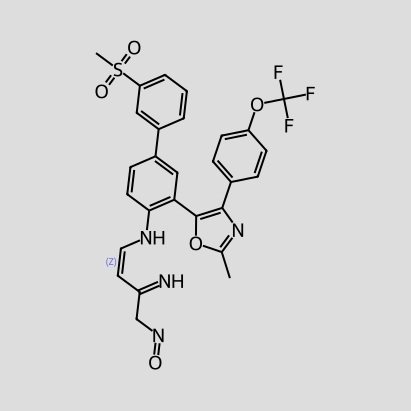 Cc1nc(-c2ccc(OC(F)(F)F)cc2)c(-c2cc(-c3cccc(S(C)(=O)=O)c3)ccc2N/C=C\C(=N)CN=O)o1